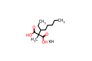 CCCCCC(CC)C(C)(C(=O)O)C(=O)O.[KH]